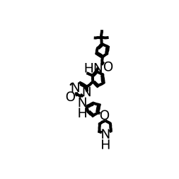 Cc1c(NC(=O)c2ccc(C(C)(C)C)cc2)cccc1-c1cn(C)c(=O)c(Nc2ccc(OC3CCNCC3)cc2)n1